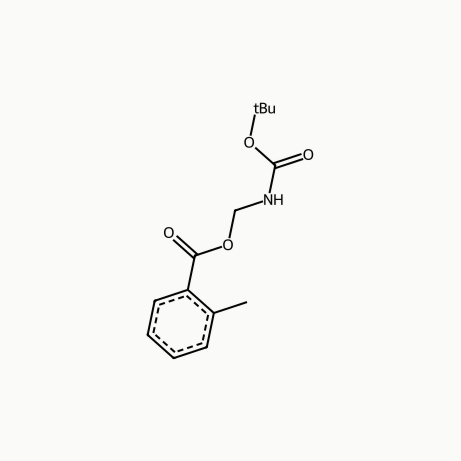 Cc1ccccc1C(=O)OCNC(=O)OC(C)(C)C